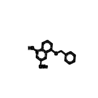 COc1cc2c(OCc3ccccc3)cccc2[n+](O)c1